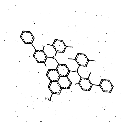 Cc1ccc(C)c(N(c2c(C)ccc(-c3ccccc3)c2C)c2cc(N(c3cc(C)ccc3C)c3c(C)ccc(-c4ccccc4)c3C)c3ccc4cc(C(C)(C)C)cc5ccc2c3c54)c1